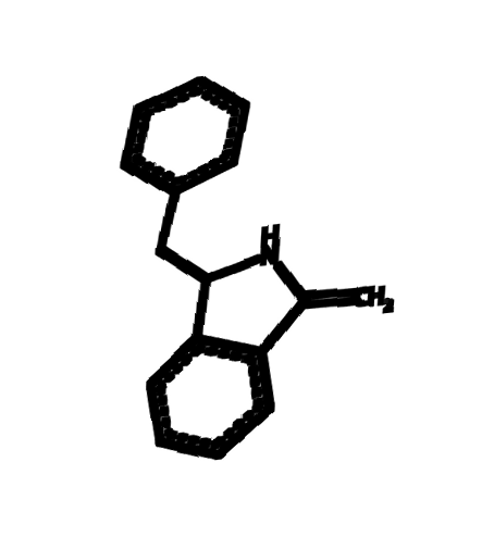 C=C1NC(Cc2ccccc2)c2ccccc21